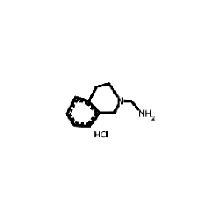 Cl.NCN1CCc2ccccc2C1